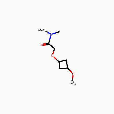 CON(C)C(=O)COC1CC(OC(F)(F)F)C1